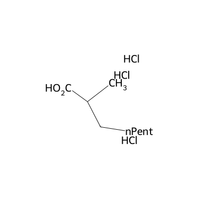 CCCCCCC(C)C(=O)O.Cl.Cl.Cl